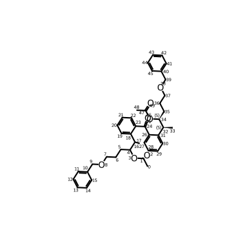 CC(=O)OC(CCCOCc1ccccc1)C(C)c1ccccc1C(=O)c1ccccc1[C@H](C)[C@H](CCCOCc1ccccc1)OC(C)=O